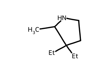 CCC1(CC)CCNC1C